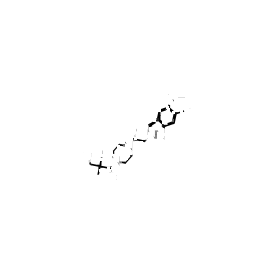 Cc1cc2nn(CC(=O)N3CCN(C(=O)C(C)(C)CO)CC3)cc2cc1N